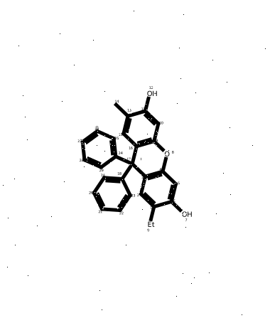 CCc1cc2c(cc1O)Oc1cc(O)c(C)cc1C2(c1ccccc1)c1ccccc1